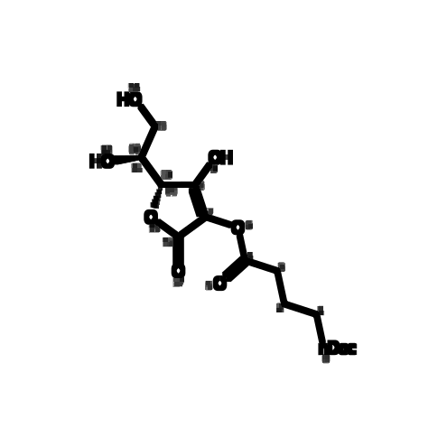 CCCCCCCCCCCCCC(=O)OC1=C(O)[C@@H]([C@@H](O)CO)OC1=O